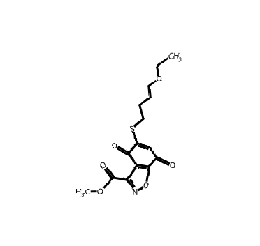 CCOCCCCSC1=CC(=O)c2onc(C(=O)OC)c2C1=O